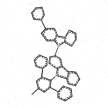 Ic1cc(-c2ccccc2)c(-n2c3ccccc3c3cc(-n4c5ccccc5c5cc(-c6ccccc6)ccc54)ccc32)c(-c2ccccc2)c1